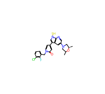 CC1CN(c2cnc3c(c2)c(-c2ccn(Cc4cccc(Cl)c4F)c(=O)c2)cn3S)C[C@@H](C)O1